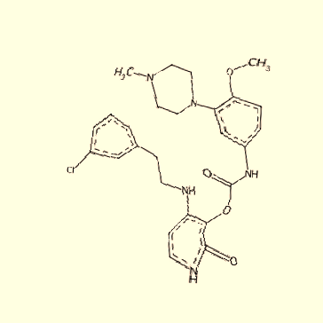 COc1ccc(NC(=O)Oc2c(NCCc3cccc(Cl)c3)cc[nH]c2=O)cc1N1CCN(C)CC1